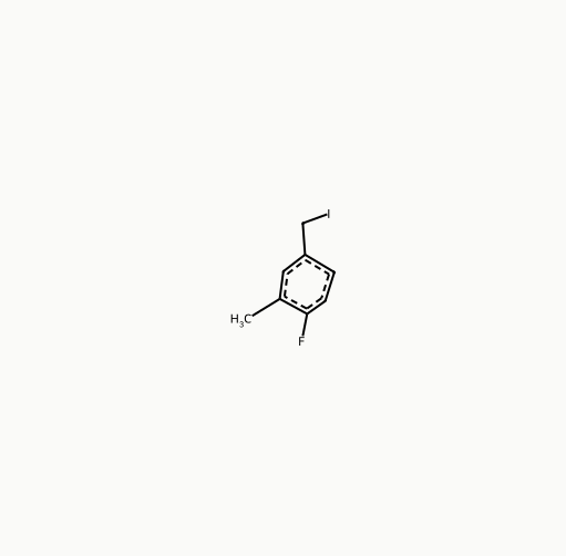 Cc1cc(CI)ccc1F